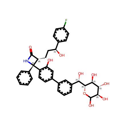 O=C1N[C@@](c2ccccc2)(c2ccc(-c3cccc([C@H](O)[C@H]4OC(O)[C@H](O)[C@@H](O)[C@@H]4O)c3)cc2O)[C@H]1CC[C@H](O)c1ccc(F)cc1